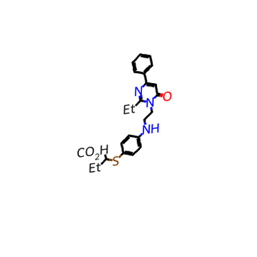 CCc1nc(-c2ccccc2)cc(=O)n1CCNc1ccc(SC(CC)C(=O)O)cc1